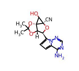 CC1(C)O[C@H]2[C@H](c3ccc4c(N)ncnn34)O[C@]3(C#N)C(O)[C@]23O1